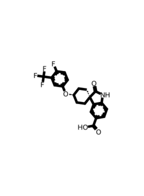 O=C(O)c1ccc2c(c1)[C@]1(CC[C@@H](Oc3ccc(F)c(C(F)(F)F)c3)CC1)C(=O)N2